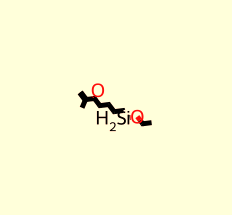 C=C(C)C(=O)CCCC[SiH2]OCC